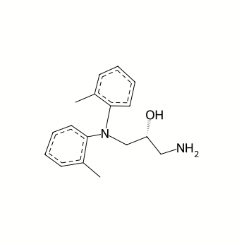 Cc1ccccc1N(C[C@H](O)CN)c1ccccc1C